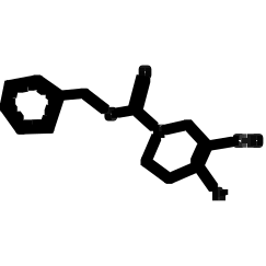 O=CC1=C(Br)CCN(C(=O)OCc2ccccc2)C1